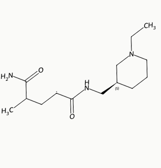 CCN1CCC[C@@H](CNC(=O)[CH]CC(C)C(N)=O)C1